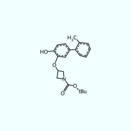 Cc1ccccc1-c1ccc(O)c(OC2CN(C(=O)OC(C)(C)C)C2)c1